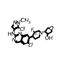 Cn1ncc(Nc2ncc3cc(Cl)c(C4CCN([C@@H]5COCC5O)C[C@@H]4F)cc3n2)c1Cl